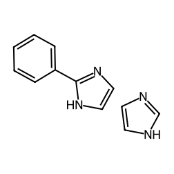 c1c[nH]cn1.c1ccc(-c2ncc[nH]2)cc1